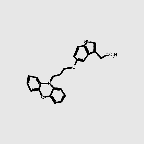 O=C(O)Cc1c[nH]c2ccc(OCCCN3c4ccccc4Oc4ccccc43)cc12